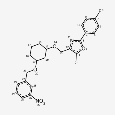 Cc1oc(-c2ccc(F)cc2)nc1COC1CCCC(OCc2cccc([N+](=O)[O-])c2)C1